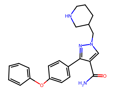 NC(=O)c1cn(CC2CCCNC2)nc1-c1ccc(Oc2ccccc2)cc1